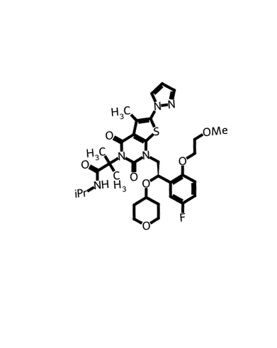 COCCOc1ccc(F)cc1[C@H](Cn1c(=O)n(C(C)(C)C(=O)NC(C)C)c(=O)c2c(C)c(-n3cccn3)sc21)OC1CCOCC1